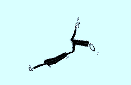 CCC(=O)C#CBr